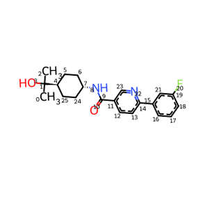 CC(C)(O)[C@H]1CC[C@H](NC(=O)c2ccc(-c3cccc(F)c3)nc2)CC1